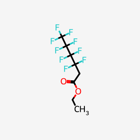 CCOC(=O)CC(F)(F)C(F)(F)C(F)(F)C(F)(F)F